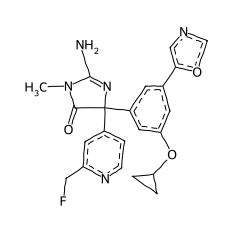 CN1C(=O)C(c2cc(OC3CC3)cc(-c3cnco3)c2)(c2ccnc(CF)c2)N=C1N